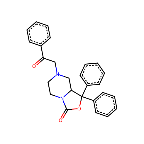 O=C(CN1CCN2C(=O)OC(c3ccccc3)(c3ccccc3)C2C1)c1ccccc1